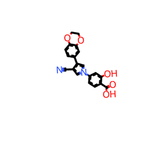 N#Cc1cn(-c2ccc(C(=O)O)c(O)c2)cc1-c1ccc2c(c1)OCCO2